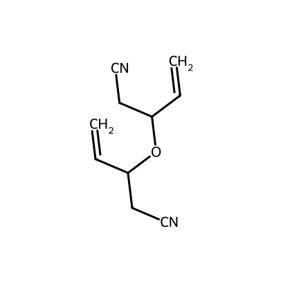 C=CC(CC#N)OC(C=C)CC#N